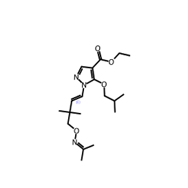 CCOC(=O)c1cnn(/C=C/C(C)(C)CON=C(C)C)c1OCC(C)C